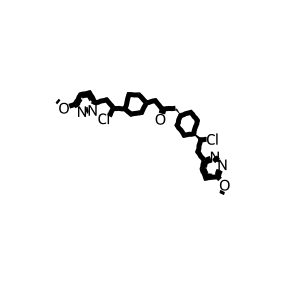 COc1ccc(CC(Cl)C2CCC(CC(=O)C[C@H]3CC[C@H](C(Cl)Cc4ccc(OC)nn4)CC3)CC2)nn1